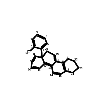 Fc1ccccc1C12C=CC=CC1=c1ccc3c(c1=CC2)CCCC3